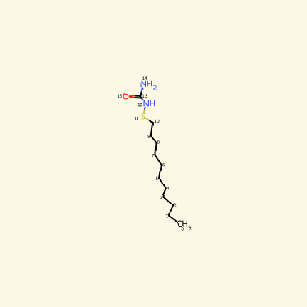 CCCCCCCCCCCSNC(N)=O